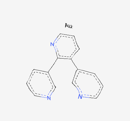 [Au].c1cncc(-c2cccnc2-c2cccnc2)c1